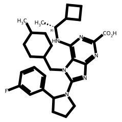 CC1CCC(Cn2c(N3CCCC3c3cccc(F)c3)nc3nc(C(=O)O)nc(N[C@H](C)C4CCC4)c32)CC1